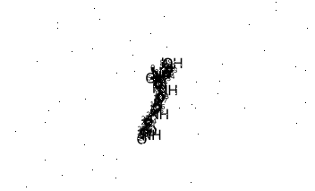 C=CCn1c(=O)c2cnc(Nc3ccc(N4CCC(NCc5ccc(C6CCC(=O)NC6=O)cc5)CC4)cc3)nc2n1-c1ccc2c(n1)[C@@](O)(CI)CC2